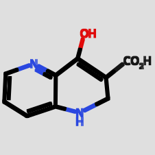 O=C(O)C1=C(O)c2ncccc2NC1